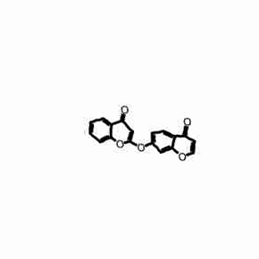 O=c1ccoc2cc(Oc3cc(=O)c4ccccc4o3)ccc12